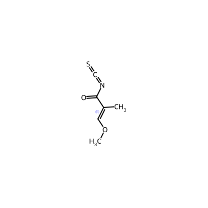 CO/C=C(\C)C(=O)N=C=S